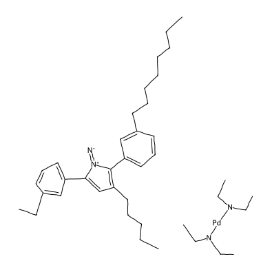 CCCCCCCCc1cccc(C2=C(CCCCC)C=C(c3cccc(CC)c3)[N+]2=[N-])c1.CC[N](CC)[Pd][N](CC)CC